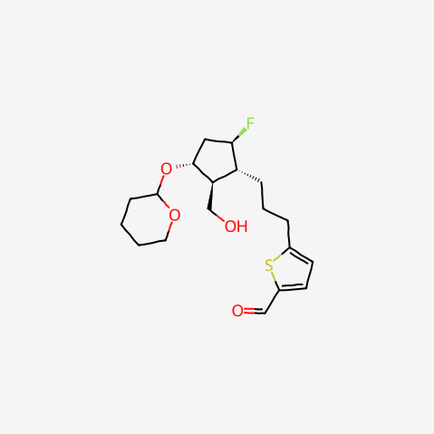 O=Cc1ccc(CCC[C@@H]2[C@@H](CO)[C@H](OC3CCCCO3)C[C@H]2F)s1